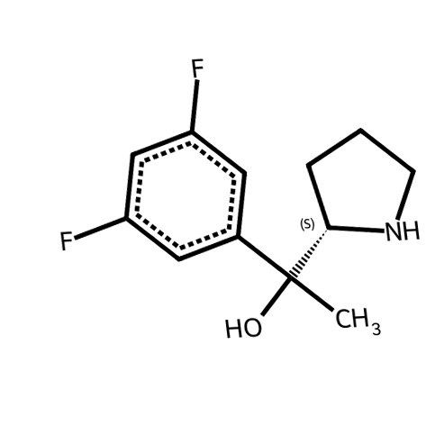 CC(O)(c1cc(F)cc(F)c1)[C@@H]1CCCN1